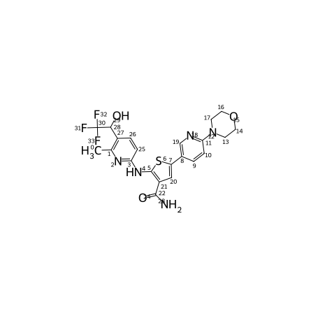 Cc1nc(Nc2sc(-c3ccc(N4CCOCC4)nc3)cc2C(N)=O)ccc1C(O)C(F)(F)F